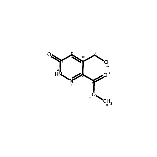 COC(=O)c1n[nH]c(=O)cc1CCl